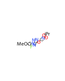 COc1ccc(-n2ncc3c(OC4CCN(C(=O)OC(C)C)CC4)ncnc32)c(F)c1